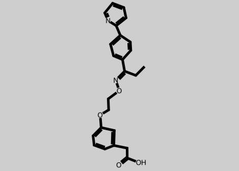 CC/C(=N\OCCOc1cccc(CC(=O)O)c1)c1ccc(-c2ccccn2)cc1